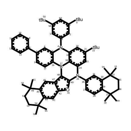 CC(C)(C)c1cc(N2c3cc(-c4ccccc4)ccc3B3c4c2cc(C(C)(C)C)cc4N(c2ccc4c(c2)C(C)(C)CCC4(C)C)c2oc4cc5c(cc4c23)C(C)(C)CCC5(C)C)cc(C(C)(C)C)c1